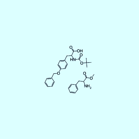 CC(C)(C)OC(=O)NC(Cc1ccc(OCc2ccccc2)cc1)C(=O)O.COC(=O)C(N)Cc1ccccc1